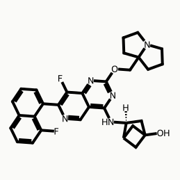 OC12CC(C1)[C@@H](Nc1nc(OCC34CCCN3CCC4)nc3c(F)c(-c4cccc5cccc(F)c45)ncc13)C2